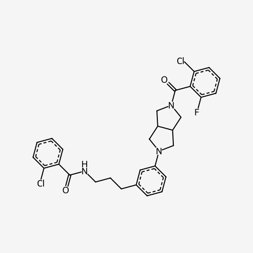 O=C(NCCCc1cccc(N2CC3CN(C(=O)c4c(F)cccc4Cl)CC3C2)c1)c1ccccc1Cl